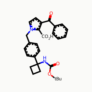 CC(C)(C)OC(=O)NC1(c2ccc(Cn3ccc(C(=O)c4ccccc4)c3C(=O)O)cc2)CCC1